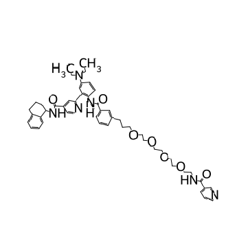 CCN(CC)c1ccc(NC(=O)c2cccc(CCCOCCOCCOCCOCCNC(=O)c3cccnc3)c2)c(-c2cc(C(=O)NC3CCCc4ccccc43)ccn2)c1